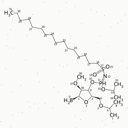 B[C@@H]1O[C@H](COC(C)C)C(O/[PH](=N\S(=O)(=O)CCCCCCCCCCCCCCCC)OC(C)C)[C@@H]1OC